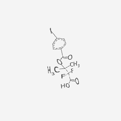 CC(C)(OC(=O)c1ccc(I)cc1)C(F)(F)C(=O)O